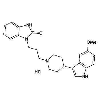 COc1ccc2[nH]cc(C3CCN(CCCn4c(=O)[nH]c5ccccc54)CC3)c2c1.Cl